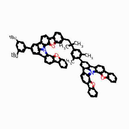 Cc1cc(C(C)(C)Cc2ccc3c(c2)oc2c3ccc3c4cc(-c5cc(C(C)(C)C)cc(C(C)(C)C)c5)cc5c6ccc7c8ccccc8oc7c6n(c54)c32)cc(C)c1-c1cc2c3ccc4c5ccccc5oc4c3n3c2c(c1)c1ccc2c4ccccc4oc2c13